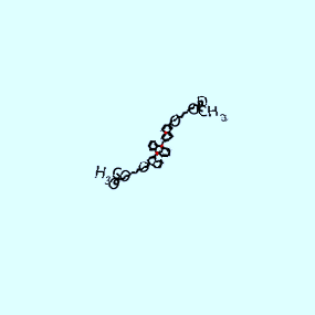 CCC1(COCCCCCOCc2ccc3cc(-c4c5ccccc5c(-c5ccc(COCCCCCOCC6(CC)COC6)c6ccccc56)c5ccccc45)ccc3c2)COC1